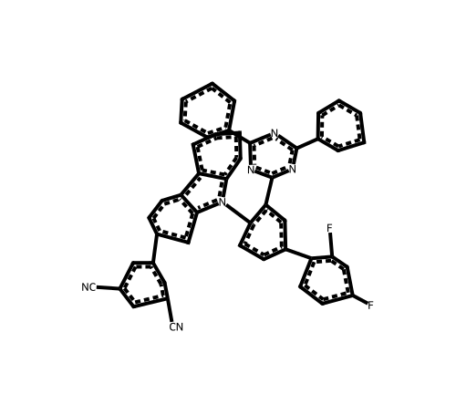 N#Cc1cc(C#N)cc(-c2ccc3c4ccccc4n(-c4ccc(-c5ccc(F)cc5F)cc4-c4nc(-c5ccccc5)nc(-c5ccccc5)n4)c3c2)c1